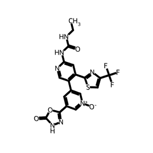 CCNC(=O)Nc1cc(-c2nc(C(F)(F)F)cs2)c(-c2cc(-c3n[nH]c(=O)o3)c[n+]([O-])c2)cn1